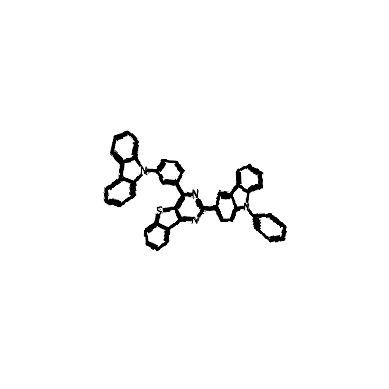 c1ccc(-n2c3ccccc3c3cc(-c4nc(-c5cccc(-n6c7ccccc7c7ccccc76)c5)c5sc6ccccc6c5n4)ccc32)cc1